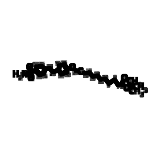 CC(C)(C)OC(=O)CCCCCCCCCCCOc1ccc(CCc2ccc(S(N)(=O)=O)cc2)cc1